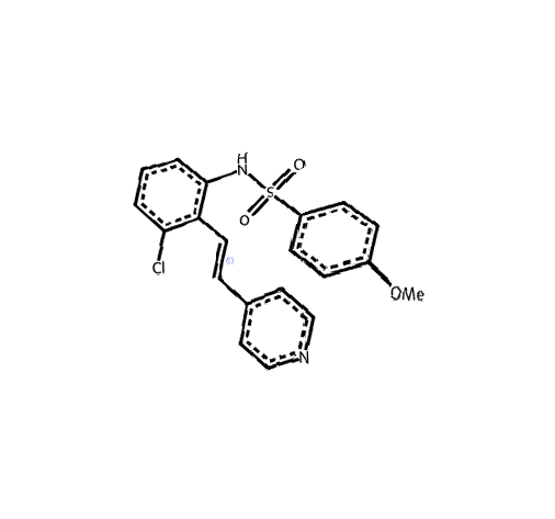 COc1ccc(S(=O)(=O)Nc2cccc(Cl)c2/C=C/c2ccncc2)cc1